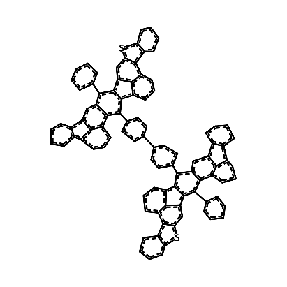 c1ccc(-c2c3cc4c5ccccc5c5cccc(c3c(-c3ccc(-c6ccc(-c7c8cc9c%10ccccc%10c%10cccc(c8c(-c8ccccc8)c8c%11cc%12sc%13ccccc%13c%12c%12cccc(c78)c%11%12)c%109)cc6)cc3)c3c6cccc7c8c(cc(c23)c67)sc2ccccc28)c54)cc1